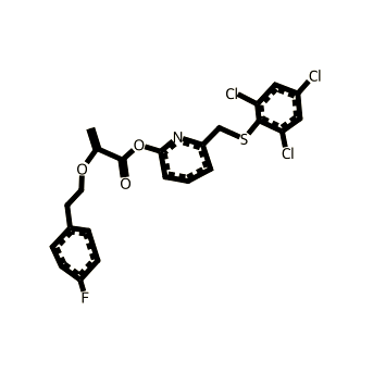 C=C(OCCc1ccc(F)cc1)C(=O)Oc1cccc(CSc2c(Cl)cc(Cl)cc2Cl)n1